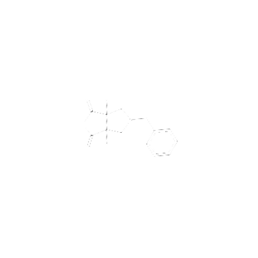 CC12CN(Cc3ccccc3)CC1(C)C(=O)OC2=O